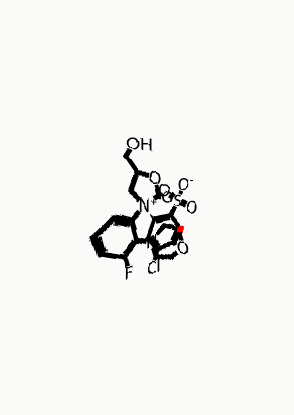 O=C1OC(CO)C[N@+]1(c1cc(Cl)ccc1S(=O)(=O)[O-])c1cccc(F)c1N1CCOCC1